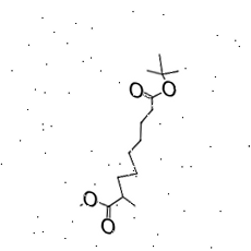 COC(=O)C(C)CCCCCCC(=O)OC(C)(C)C